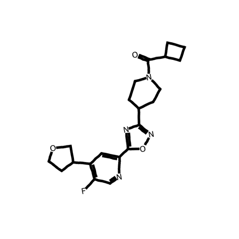 O=C(C1CCC1)N1CCC(c2noc(-c3cc(C4CCOC4)c(F)cn3)n2)CC1